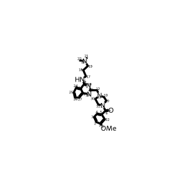 COc1cccc(C(=O)N2CCN(Cc3nc(NCCCN(C)C)c4ccccc4n3)CC2)c1